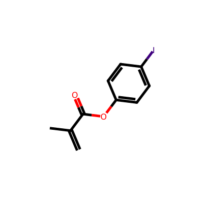 C=C(C)C(=O)Oc1ccc(I)cc1